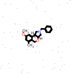 COc1cc(C)c2c(c1)[C@@H]1CN(Cc3ccccc3)C[C@H]1OC2